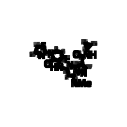 CNc1cc(Nc2c(F)ccn(-c3nccs3)c2=O)nc2c(C(=O)NC3CC3)cnn12